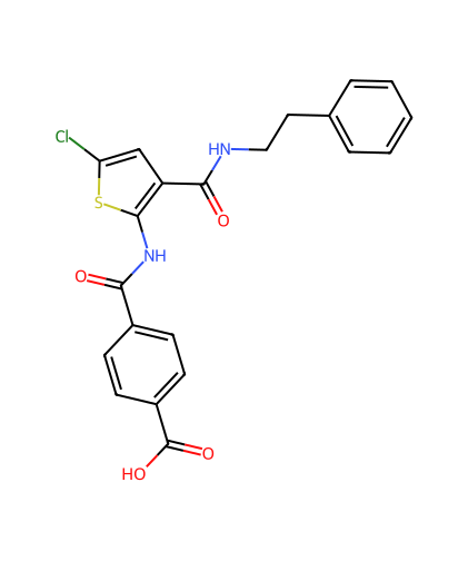 O=C(O)c1ccc(C(=O)Nc2sc(Cl)cc2C(=O)NCCc2ccccc2)cc1